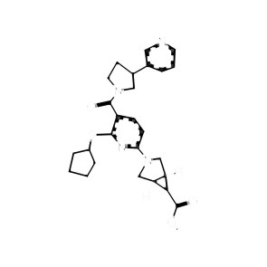 COC(=O)C1[C@H]2CN(c3ccc(C(=O)N4CCC(c5cccnc5)C4)c(SC4CCCC4)n3)C[C@@H]12